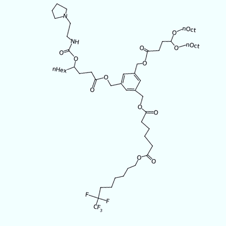 CCCCCCCCOC(CCC(=O)OCc1cc(COC(=O)CCCCC(=O)OCCCCCCC(F)(F)C(F)(F)F)cc(COC(=O)CCC(CCCCCC)OC(=O)NCCN2CCCC2)c1)OCCCCCCCC